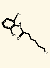 CC(C)c1cccc(C(C)C)c1NC(=O)CCCCCBr